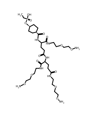 CCP(=O)(O)O[C@H]1CC[C@@H](C(=O)NC(CCC(=O)NC(CCC(=O)NCCOCCON)C(=O)NCCOCCON)C(=O)NCCOCCON)CC1